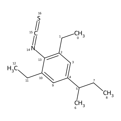 CCc1cc(C(C)CC)cc(CC)c1N=C=S